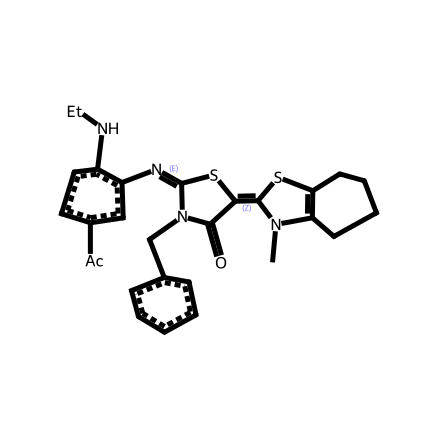 CCNc1ccc(C(C)=O)cc1/N=C1/S/C(=C2\SC3=C(CCCC3)N2C)C(=O)N1Cc1ccccc1